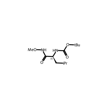 CONC(=O)[C@H](CC(C)C)NC(=O)OC(C)(C)C